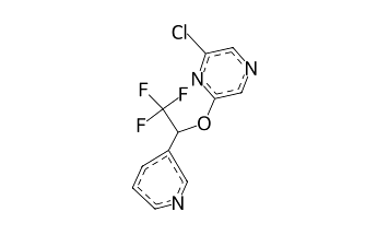 FC(F)(F)C(Oc1cncc(Cl)n1)c1cccnc1